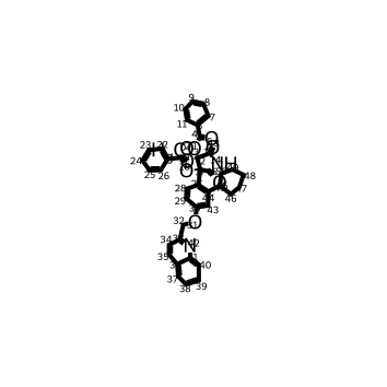 CO[C@]1(OC(=O)c2ccccc2)C(=O)NC(=O)[C@@]1(OC(=O)c1ccccc1)c1ccc(OCc2ccc3ccccc3n2)cc1C1CCCCC1